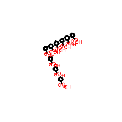 O=C(OO)c1ccccc1.O=C(OO)c1ccccc1.O=C(OO)c1ccccc1.O=C(OO)c1ccccc1.O=C(OO)c1ccccc1.O=C(OO)c1ccccc1.O=C(OO)c1ccccc1.O=C(OO)c1ccccc1.O=C(OOO)c1ccccc1